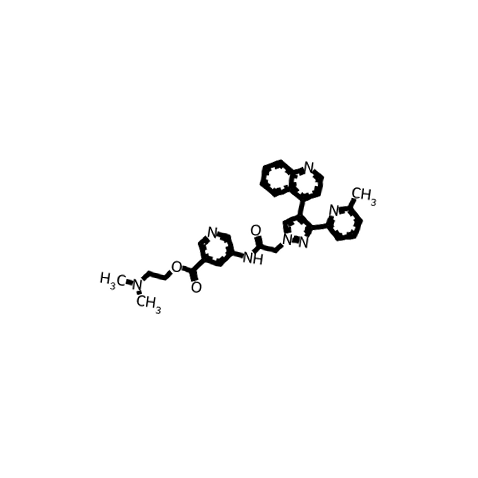 Cc1cccc(-c2nn(CC(=O)Nc3cncc(C(=O)OCCN(C)C)c3)cc2-c2ccnc3ccccc23)n1